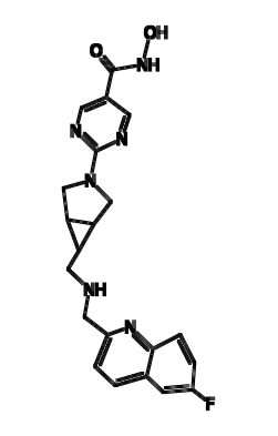 O=C(NO)c1cnc(N2CC3C(CNCc4ccc5cc(F)ccc5n4)C3C2)nc1